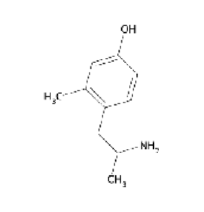 Cc1cc(O)ccc1CC(C)N